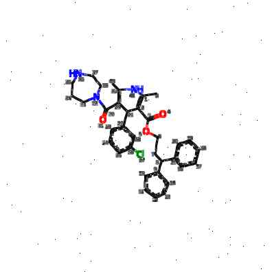 CC1=C(C(=O)OCCC(c2ccccc2)c2ccccc2)C(c2cccc(Cl)c2)C(C(=O)N2CCCNCC2)=C(C)N1